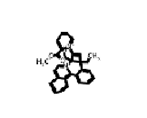 CCC12C=C([n+]3ccccc3C(=O)OC)C1(CC)[n+]1ccc3ccccc3c1-c1ccccc12